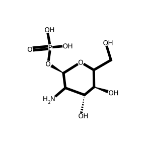 NC1[C@@H](OP(=O)(O)O)OC(CO)[C@@H](O)[C@@H]1O